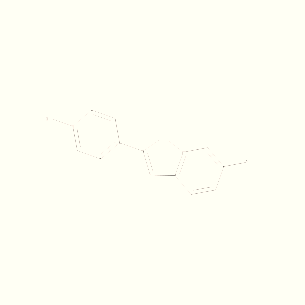 Nc1ccc2cc(-c3ccc(Br)cc3)oc2c1